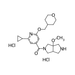 COC12CNCC1CN(C(=O)c1cc(OCC3CCOCC3)nc(C3CC3)c1)C2.Cl.Cl